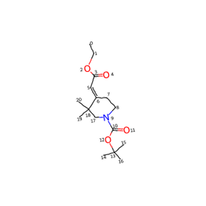 CCOC(=O)C=C1CCN(C(=O)OC(C)(C)C)CC1(C)C